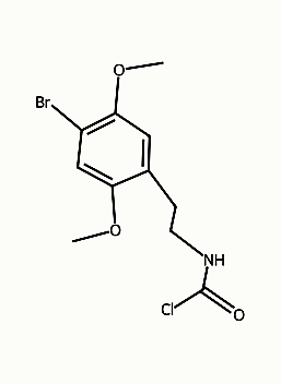 COc1cc(CCNC(=O)Cl)c(OC)cc1Br